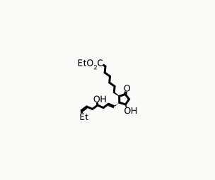 CC/C=C\CC(O)C/C=C/[C@H]1[C@H](O)CC(=O)[C@@H]1CCCCCCC(=O)OCC